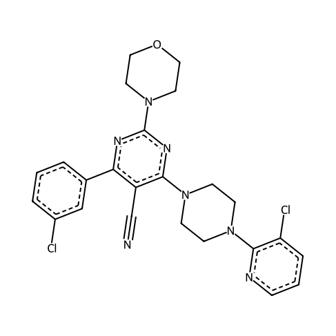 N#Cc1c(-c2cccc(Cl)c2)nc(N2CCOCC2)nc1N1CCN(c2ncccc2Cl)CC1